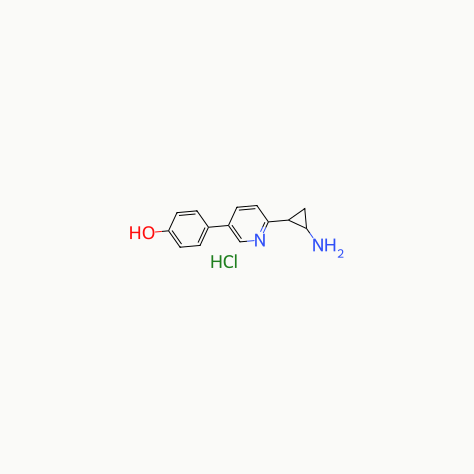 Cl.NC1CC1c1ccc(-c2ccc(O)cc2)cn1